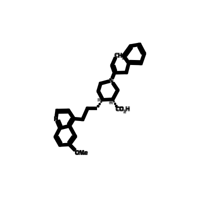 CC=C(Cc1ccccc1)N1CC[C@@H](CCCc2ccnc3ccc(OC)cc23)[C@@H](C(=O)O)C1